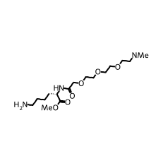 CNCCOCCOCCOCC(=O)N[C@@H](CCCCN)C(=O)OC